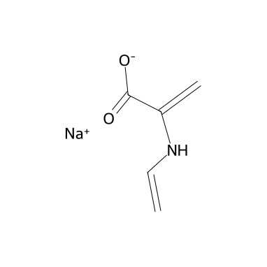 C=CNC(=C)C(=O)[O-].[Na+]